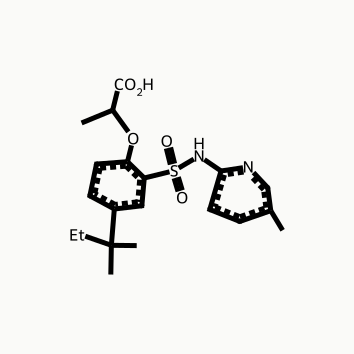 CCC(C)(C)c1ccc(OC(C)C(=O)O)c(S(=O)(=O)Nc2ccc(C)cn2)c1